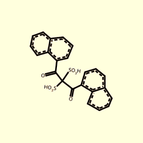 O=C(c1cccc2ccccc12)C(C(=O)c1cccc2ccccc12)(S(=O)(=O)O)S(=O)(=O)O